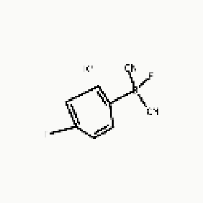 N#C[B-](F)(C#N)c1ccc(F)cc1.[K+]